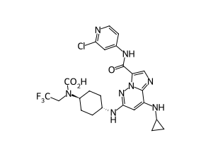 O=C(Nc1ccnc(Cl)c1)c1cnc2c(NC3CC3)cc(N[C@H]3CC[C@H](N(CC(F)(F)F)C(=O)O)CC3)nn12